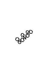 c1ccc2c(c1)oc1c2ccc2c1c1cccc3c4c5c(ccc4n2c13)oc1ccccc15